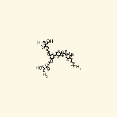 C=C(CO)C(=O)OCCOc1cc(OCCOC(=O)C(=C)CO)cc(-c2ccc(OC(F)(F)c3ccc(CCCCC)c(F)c3)cc2)c1